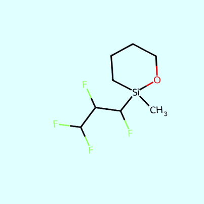 C[Si]1(C(F)C(F)C(F)F)CCCCO1